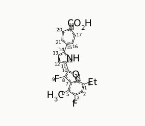 CCc1cc(F)c(C)c2c(F)c(-c3ccc(-c4ccc(C(=O)O)cc4)[nH]3)oc12